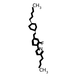 CCCCCC[C@H]1CC[C@H](CCc2ccc(-c3ccc(CCCCC)cn3)c(F)c2)CC1